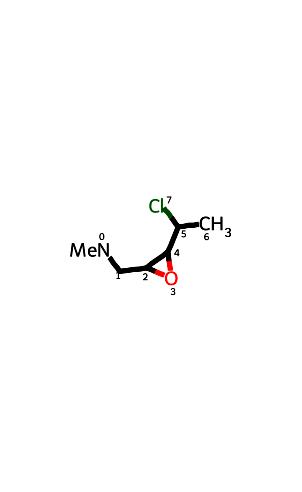 CNCC1OC1C(C)Cl